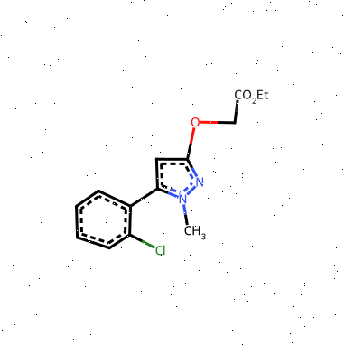 CCOC(=O)COc1cc(-c2ccccc2Cl)n(C)n1